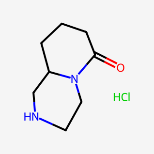 Cl.O=C1CCCC2CNCCN12